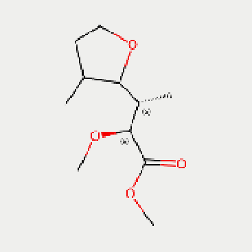 COC(=O)[C@@H](OC)[C@@H](C)C1OCCC1C